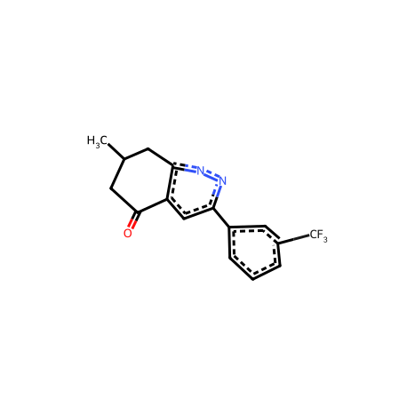 CC1CC(=O)c2cc(-c3cccc(C(F)(F)F)c3)nnc2C1